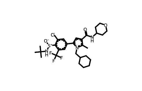 Cc1c(C(=O)NC2CCOCC2)cc(-c2cc(Cl)c([S+]([O-])NC(C)(C)C)c(C(F)(F)F)c2)n1CC1CCCCC1